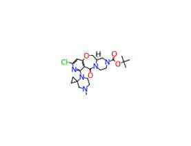 CN1CCN(c2nc(Cl)cc3c2C(=O)N2CCN(C(=O)OC(C)(C)C)C[C@@H]2CO3)C2(CC2)C1